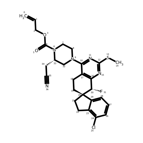 C=CCOC(=O)N1CCN(c2nc(SC)nc3c2CC[C@@]2(CCc4c(Cl)cccc42)[C@H]3F)C[C@@H]1CC#N